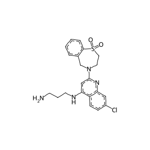 NCCCNc1cc(N2CCS(=O)(=O)c3ccccc3C2)nc2cc(Cl)ccc12